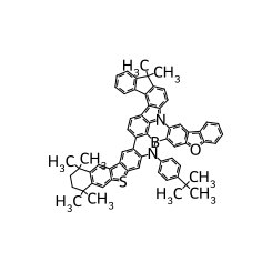 CC(C)(C)c1ccc(N2B3c4cc5oc6ccccc6c5cc4-n4c5ccc6c(c5c5ccc(c3c54)-c3cc4c(cc32)sc2cc3c(cc24)C(C)(C)CCC3(C)C)-c2ccccc2C6(C)C)cc1